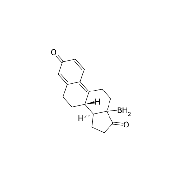 BC12CCC3=C4C=CC(=O)C=C4CC[C@H]3[C@@H]1CCC2=O